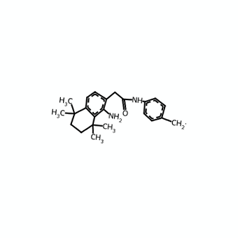 [CH2]c1ccc(NC(=O)Cc2ccc3c(c2N)C(C)(C)CCC3(C)C)cc1